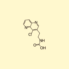 O=C(O)NCCc1cnc2cccnc2c1Cl